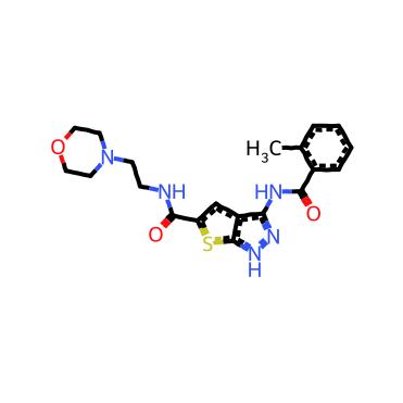 Cc1ccccc1C(=O)Nc1n[nH]c2sc(C(=O)NCCN3CCOCC3)cc12